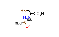 CCCC[S+]([O-])CCCC.NC(CS)C(=O)O